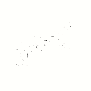 CC(=O)C1(C(/C=C/C(C)(C)[C@H]2CC[C@H]3/C(=C/C=C4C[C@@H](O[Si](C)(C)C(C)(C)C)C[C@H](O[Si](C)(C)C(C)(C)C)C4)CCC[C@]23C)OC2CCCCO2)CC1